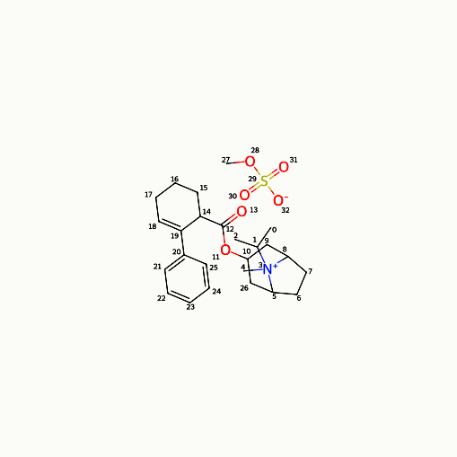 CC(C)[N+]1(C)C2CCC1CC(OC(=O)C1CCCC=C1c1ccccc1)C2.COS(=O)(=O)[O-]